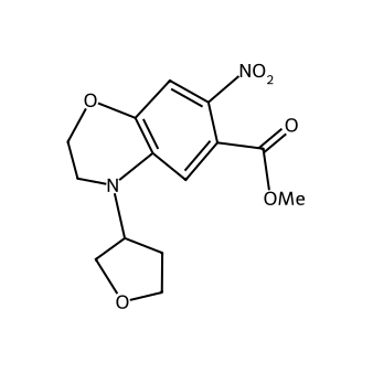 COC(=O)c1cc2c(cc1[N+](=O)[O-])OCCN2C1CCOC1